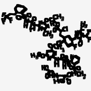 CCOC(=O)C(Cl)Cc1cc(-n2nc(C)n(C(F)F)c2=O)c(F)cc1Cl.CCS(=O)(=O)c1cccnc1S(=O)(=O)NC(=O)Nc1nc(OC)cc(OC)n1.COc1nc(C)nc(NC(=O)NS(=O)(=O)c2ccccc2CCC(F)(F)F)n1.O=C(O)CNCP(=O)(O)O